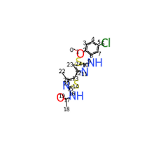 COc1ccc(Cl)cc1Nc1nc(-c2sc(NC(C)=O)nc2C)cs1